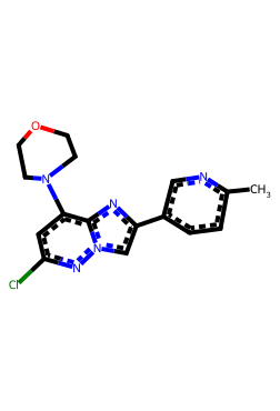 Cc1ccc(-c2cn3nc(Cl)cc(N4CCOCC4)c3n2)cn1